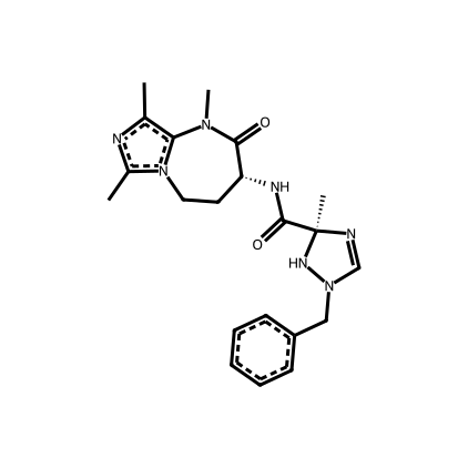 Cc1nc(C)n2c1N(C)C(=O)[C@H](NC(=O)[C@@]1(C)N=CN(Cc3ccccc3)N1)CC2